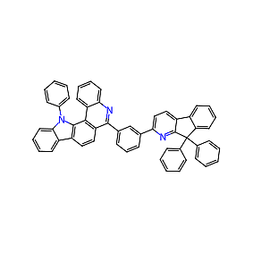 c1ccc(-n2c3ccccc3c3ccc4c(-c5cccc(-c6ccc7c(n6)C(c6ccccc6)(c6ccccc6)c6ccccc6-7)c5)nc5ccccc5c4c32)cc1